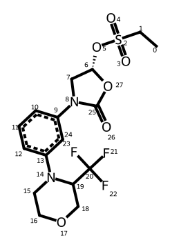 CCS(=O)(=O)O[C@H]1CN(c2cccc(N3CCOCC3C(F)(F)F)c2)C(=O)O1